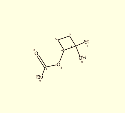 CCC(C)C(=O)OC1CCC1(O)CC